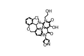 CN(c1nc(C(=O)Nc2cnoc2)c(O)c(=O)n1CCO)C1c2ncccc2COc2cccc(Cl)c21